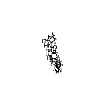 O=C(Nc1ccc(Cl)nc1Cl)[C@@H]1CC[C@H]2[C@@H]3CCC4[C@H](C=Cc5nccn54)[C@H]3CC[C@@H]21